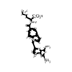 Nc1nc(N)c2nc(Cn3ccc4cc(C(=O)NC(CCCC(=O)O)C(=O)O)ccc43)cnc2n1